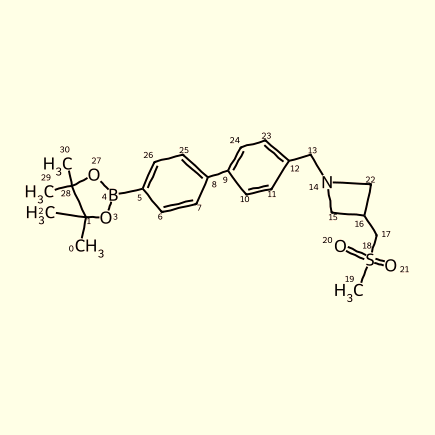 CC1(C)OB(c2ccc(-c3ccc(CN4CC(CS(C)(=O)=O)C4)cc3)cc2)OC1(C)C